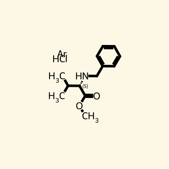 COC(=O)[C@@H](NCc1ccccc1)C(C)C.Cl.[Ar]